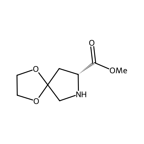 COC(=O)[C@H]1CC2(CN1)OCCO2